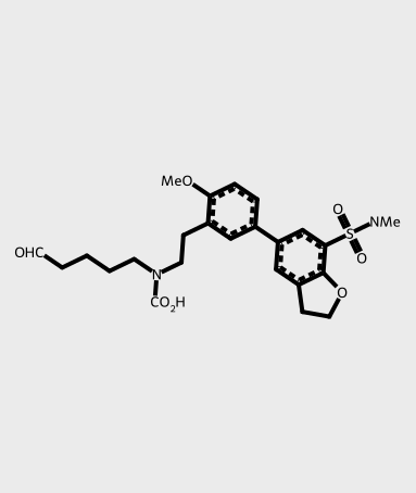 CNS(=O)(=O)c1cc(-c2ccc(OC)c(CCN(CCCCC=O)C(=O)O)c2)cc2c1OCC2